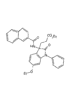 CCOC(=O)CCC1(NC(=O)c2ccc3ccccc3c2)C(=O)N(c2ccccc2)c2cc(OCC)ccc21